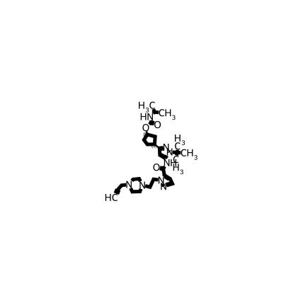 C#CCN1CCN(CCn2nccc2C(=O)Nc2cc([C@H]3CC[C@@H](OC(=O)NC(C)C)C3)nn2C(C)(C)C)CC1